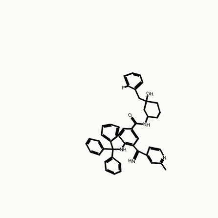 Cc1cc(C(=N)c2cc(C(=O)NC3CCCC(O)(Cc4ccccc4F)C3)ccc2NC(c2ccccc2)(c2ccccc2)c2ccccc2)ccn1